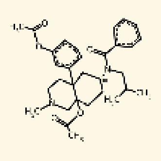 CC(=O)Oc1cccc(C23CCN(C)CC2(OC(C)=O)CC[C@@H](N(CC(C)C)C(=O)c2ccccc2)C3)c1